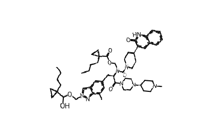 CCCCC1(C(=O)OCN(C(=O)N2CCC(c3cc4ccccc4[nH]c3=O)CC2)[C@H](Cc2cc(C)c3nn(COC(O)C4(CCCC)CC4)cc3c2)C(=O)N2CCN(C3CCN(C)CC3)CC2)CC1